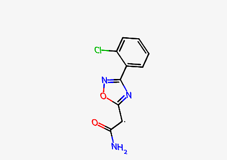 NC(=O)[CH]c1nc(-c2ccccc2Cl)no1